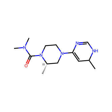 CC1C=C(N2CCN(C(=O)N(C)C)[C@@H](C)C2)N=CN1